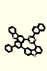 c1ccc(-c2cccc(-c3ccc4oc5cccc(-c6nc(-c7ccc8ccccc8c7)nc(-c7ccc8oc9ccccc9c8c7)n6)c5c4c3)c2)cc1